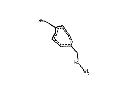 CCCCc1ccc(CNN)cc1